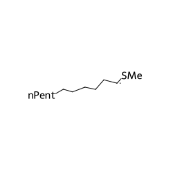 CCCCCCCCCC[CH]SC